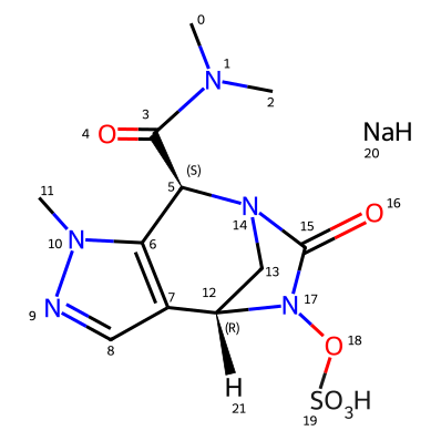 CN(C)C(=O)[C@@H]1c2c(cnn2C)[C@@H]2CN1C(=O)N2OS(=O)(=O)O.[NaH]